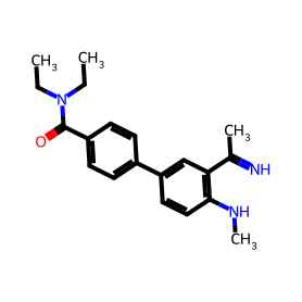 CCN(CC)C(=O)c1ccc(-c2ccc(NC)c(C(C)=N)c2)cc1